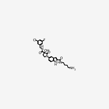 NCCCCNC(=O)c1cc2cc(N3CC[C@](O)(C(=O)NCc4cc(F)cc(Cl)c4)C3=O)ccc2[nH]1